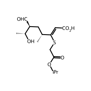 CC(C)OC(=O)CS/C(=C\C(=O)O)[C@H](C)C[C@H](C=O)[C@@H](C)O